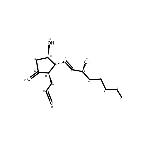 CCCCC[C@H](O)C=C[C@H]1[C@H](O)CC(=O)[C@@H]1CC=O